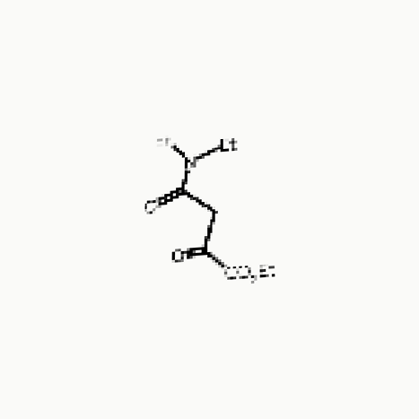 CCOC(=O)C(=O)CC(=O)N(CC)CC